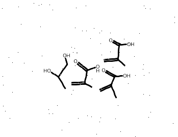 C=C(C)C(=O)O.C=C(C)C(=O)O.C=C(C)C(=O)O.CC(O)CO